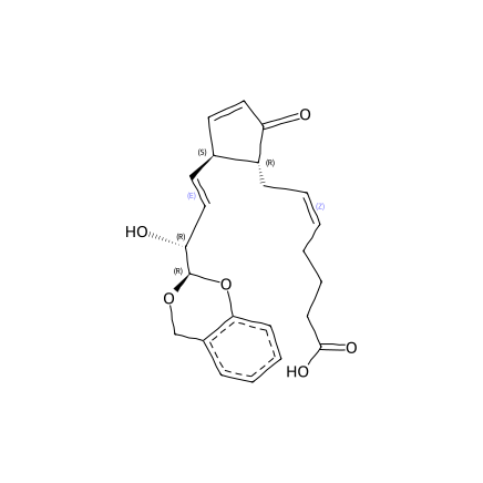 O=C(O)CCC/C=C\C[C@H]1C(=O)C=C[C@@H]1/C=C/[C@@H](O)[C@@H]1OCc2ccccc2O1